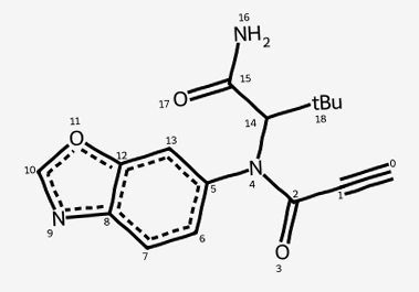 C#CC(=O)N(c1ccc2ncoc2c1)C(C(N)=O)C(C)(C)C